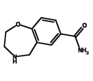 NC(=O)c1ccc2c(c1)CNCCO2